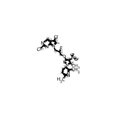 Cc1ccc(-n2nc(OCC(F)Cn3cc(Cl)c4cnc(Cl)nc43)c([N+](=O)[O-])c2C)c(C)n1